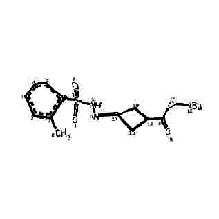 Cc1ccccc1S(=O)(=O)NN=C1CC(C(=O)OC(C)(C)C)C1